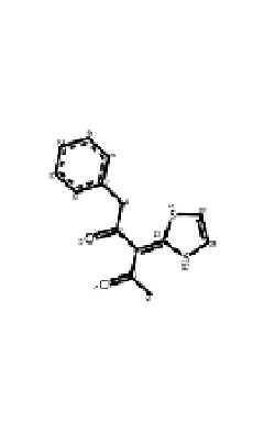 CC(=O)C(C(=O)Cc1ccccc1)=C1SC=CS1